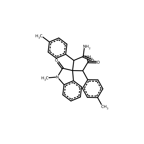 Cc1ccc(C(C(N)=O)C2(C(C(N)=O)c3ccc(C)cc3)C(=O)N(C)c3ccccc32)cc1